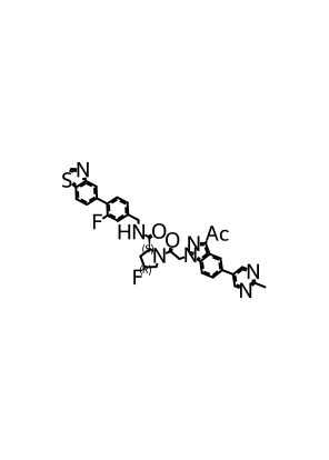 CC(=O)c1nn(CC(=O)N2C[C@H](F)C[C@H]2C(=O)NCc2ccc(-c3ccc4scnc4c3)c(F)c2)c2ccc(-c3cnc(C)nc3)cc12